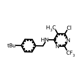 Cc1c(Cl)nc(C(F)(F)F)nc1NCc1ccc(C(C)(C)C)cc1